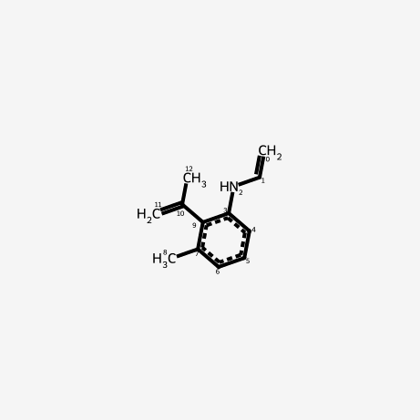 C=CNc1cccc(C)c1C(=C)C